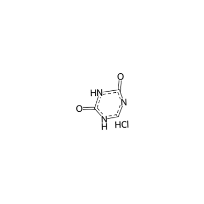 Cl.O=c1nc[nH]c(=O)[nH]1